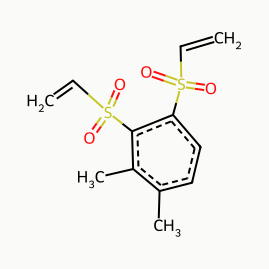 C=CS(=O)(=O)c1ccc(C)c(C)c1S(=O)(=O)C=C